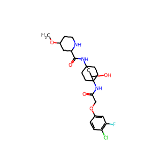 COC1CCNC(C(=O)NC23CCC(NC(=O)COc4ccc(Cl)c(F)c4)(CC2)C(O)C3)C1